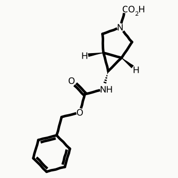 O=C(N[C@@H]1[C@@H]2CN(C(=O)O)C[C@@H]21)OCc1ccccc1